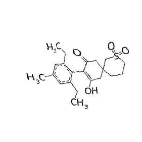 CCc1cc(C)cc(CC)c1C1=C(O)CC2(CCCS(=O)(=O)C2)CC1=O